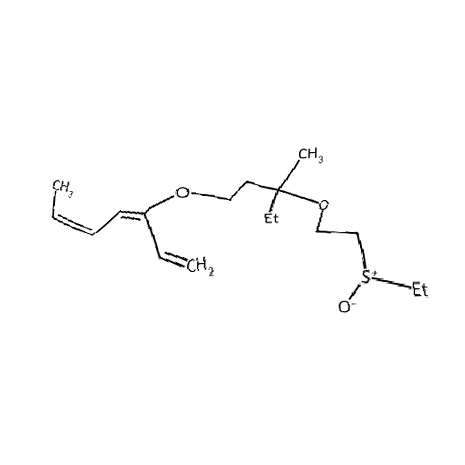 C=C/C(=C\C=C/C)OCCC(C)(CC)OCC[S+]([O-])CC